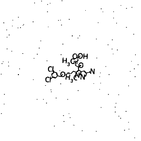 C[C@H](CC(=O)O)CC(=O)c1c(CCCCOCc2cc(Cl)cc(Cl)c2)n(C)c2ncc(C#N)cc12